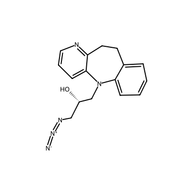 [N-]=[N+]=NC[C@H](O)CN1c2ccccc2CCc2ncccc21